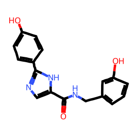 O=C(NCc1cccc(O)c1)c1cnc(-c2ccc(O)cc2)[nH]1